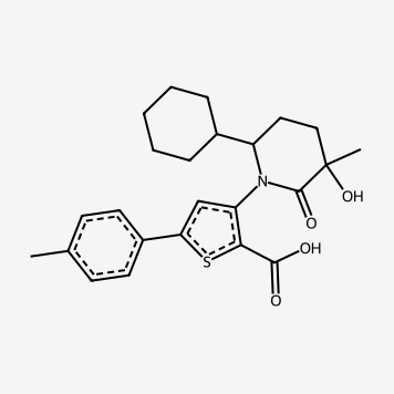 Cc1ccc(-c2cc(N3C(=O)C(C)(O)CCC3C3CCCCC3)c(C(=O)O)s2)cc1